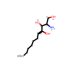 CCCCCCCCCCCCC/C=C(\O)C(O)C(N)CO